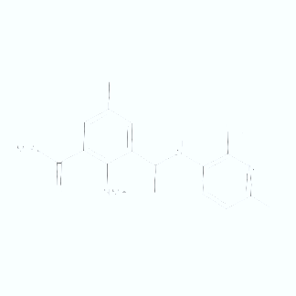 CNC(=O)c1cc(C)cc(C(C)Nc2ccc(Cl)nc2C(=O)O)c1NC